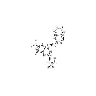 CC(C)N1Cc2c(NCc3cnc4ccccc4c3)nc(N3CCC(F)(F)C3)nc2C1=O